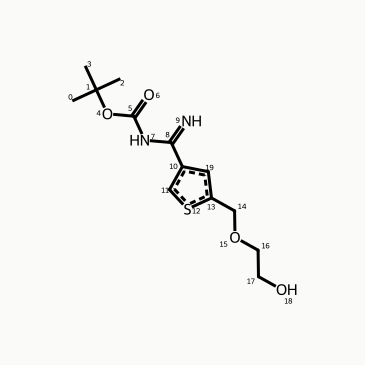 CC(C)(C)OC(=O)NC(=N)c1csc(COCCO)c1